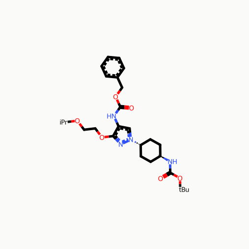 CC(C)OCCOc1nn([C@H]2CC[C@H](NC(=O)OC(C)(C)C)CC2)cc1NC(=O)OCc1ccccc1